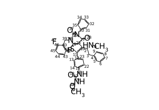 CNC(Cc1ccccc1)c1c(-c2ccc(NC(=O)NOC)cc2)sc2c1c(=O)n(-c1ccccc1)c(=O)n2Cc1c(F)cccc1F